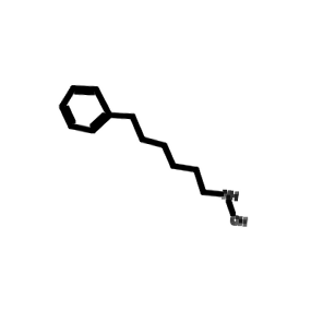 ONCCCCCCc1ccccc1